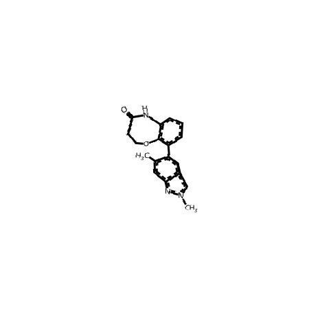 Cc1cc2nn(C)cc2cc1-c1cccc2c1OCCC(=O)N2